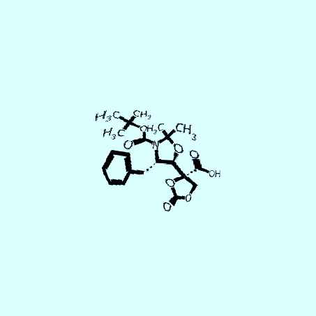 CC(C)(C)OC(=O)N1[C@@H](Cc2ccccc2)[C@H]([C@@]2(C(=O)O)COC(=O)O2)OC1(C)C